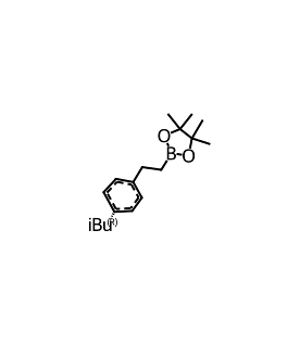 CC[C@@H](C)c1ccc(CCB2OC(C)(C)C(C)(C)O2)cc1